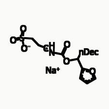 CCCCCCCCCCC(OC(=O)NCCCS(=O)(=O)[O-])c1ccco1.[Na+]